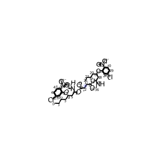 CCCCC(CC(NC)OC(=O)/C=C/C(=O)OC(CC(CCCC)Oc1cc(Cl)ccc1[N+](=O)[O-])NC)Oc1cc(Cl)ccc1[N+](=O)[O-]